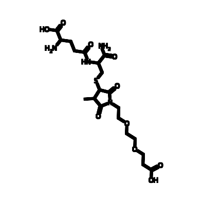 CC1C(=O)N(CCOCCOCCC(=O)O)C(=O)C1SCC(NC(=O)CCC(N)C(=O)O)C(N)=O